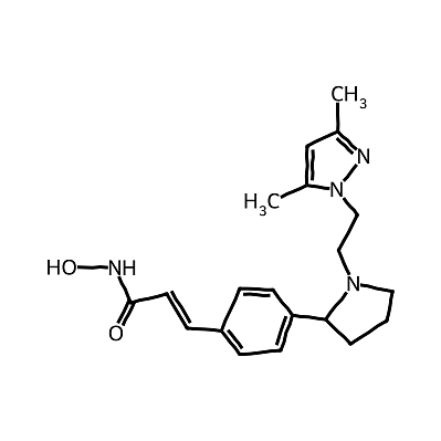 Cc1cc(C)n(CCN2CCCC2c2ccc(C=CC(=O)NO)cc2)n1